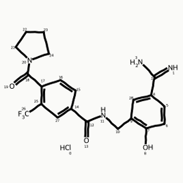 Cl.N=C(N)c1ccc(O)c(CNC(=O)c2ccc(C(=O)N3CCCC3)c(C(F)(F)F)c2)c1